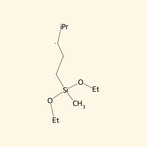 CCO[Si](C)(CC[CH]C(C)C)OCC